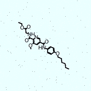 CCCCCCOc1ccc(NC(=O)c2cnc(C(=O)NCC(=O)OCC)c(OC)c2)cc1